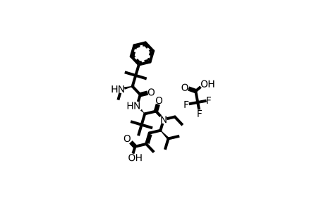 CCN(C(=O)[C@@H](NC(=O)[C@@H](NC)C(C)(C)c1ccccc1)C(C)(C)C)[C@H](/C=C(\C)C(=O)O)C(C)C.O=C(O)C(F)(F)F